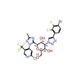 Cc1nc([C@@H]2O[C@H](CO)[C@H](O)[C@H](n3cc(-c4ccc(Br)c(F)c4F)nn3)[C@H]2O)n(-c2cc(Cl)ncc2C(F)(F)F)n1